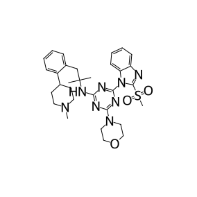 CN1CCC(c2ccccc2CC(C)(C)Nc2nc(N3CCOCC3)nc(-n3c(S(C)(=O)=O)nc4ccccc43)n2)CC1